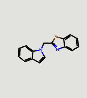 [c]1cn(Cc2nc3ccccc3s2)c2ccccc12